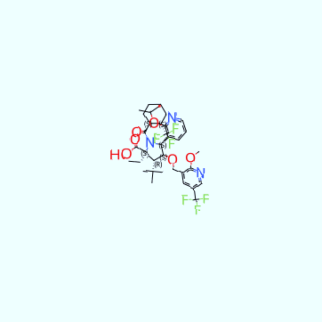 CC[C@@]1(C(=O)O)[C@@H](C(C)(C)C)[C@H](OCc2cc(C(F)(F)F)cnc2OC)[C@H](c2cccnc2OC(C)C)N1C(=O)[C@H]1CCCC[C@@H]1C(F)(F)F